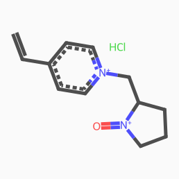 C=Cc1cc[n+](CC2CCC[N+]2=O)cc1.Cl